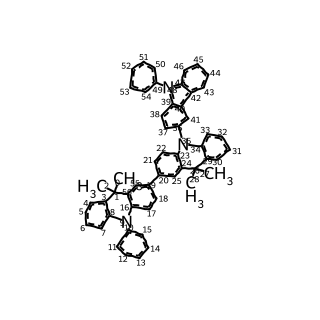 CC1(C)c2ccccc2N(c2ccccc2)c2ccc(-c3ccc4c(c3)C(C)(C)c3ccccc3N4c3ccc4c(c3)c3ccccc3n4-c3ccccc3)cc21